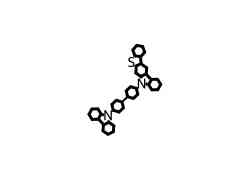 c1ccc2c(c1)sc1cc3c(cc12)c1ccccc1n3-c1ccc(-c2ccc(-n3c4ccccc4c4ccccc43)cc2)cc1